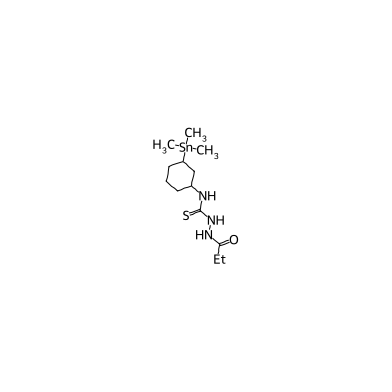 CCC(=O)NNC(=S)NC1CCC[CH]([Sn]([CH3])([CH3])[CH3])C1